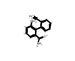 C#Cc1ccccc1-c1c(N)cccc1C(N)=O